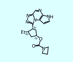 CC[C@@H]1C[C@H](OC(=O)N2CCC2)C[C@@H]1c1nnc2cnc3[nH]ccc3n12